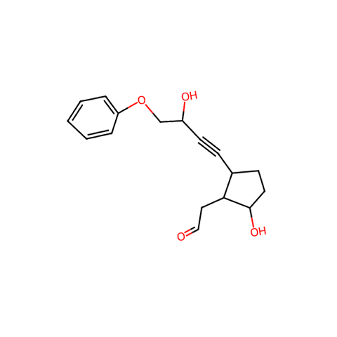 O=CCC1C(O)CCC1C#CC(O)COc1ccccc1